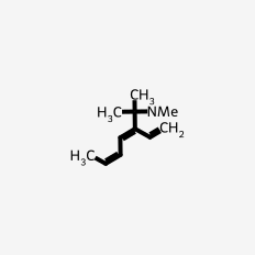 C=C/C(=C\C=C/C)C(C)(C)NC